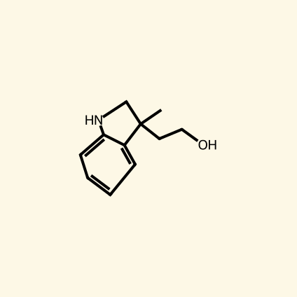 CC1(CCO)CNc2ccccc21